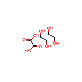 O=C(O)C(=O)O.OCCO.OCCO